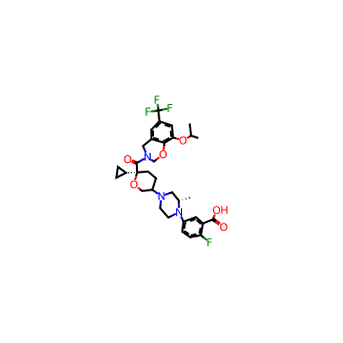 CC(C)Oc1cc(C(F)(F)F)cc2c1OCN(C(=O)[C@@]1(C3CC3)CCC(N3CCN(c4ccc(F)c(C(=O)O)c4)[C@@H](C)C3)CO1)C2